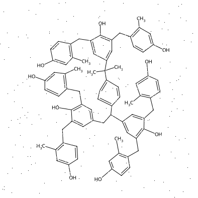 Cc1cc(O)ccc1Cc1cc(CC(c2ccc(C(C)(C)c3cc(Cc4ccc(O)cc4C)c(O)c(Cc4ccc(O)cc4C)c3)cc2)c2cc(Cc3ccc(O)cc3C)c(O)c(Cc3ccc(O)cc3C)c2)cc(Cc2ccc(O)cc2C)c1O